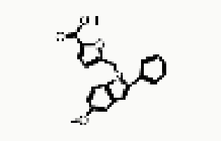 COc1ccc2c(c1)cc(-c1ccccc1)n2Cc1ccc(C(=O)O)o1